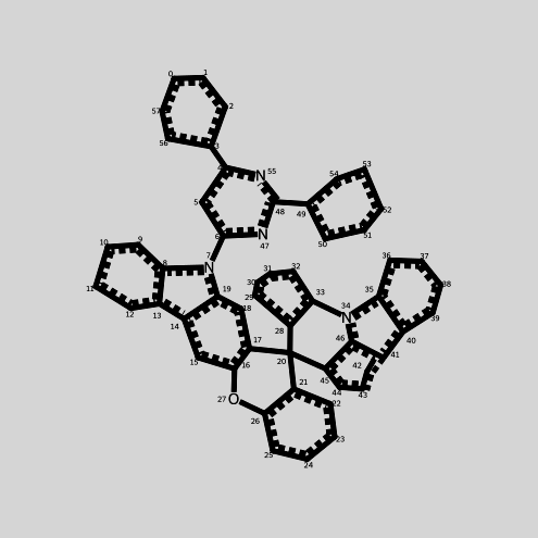 c1ccc(-c2cc(-n3c4ccccc4c4cc5c(cc43)C3(c4ccccc4O5)c4ccccc4-n4c5ccccc5c5cccc3c54)nc(-c3ccccc3)n2)cc1